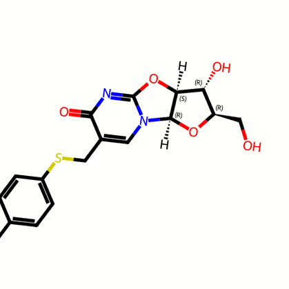 Cc1ccc(SCc2cn3c(nc2=O)O[C@H]2[C@H](O)[C@@H](CO)O[C@H]23)cc1